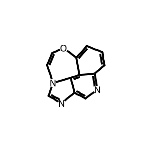 c1cc2ncc3ncn4ccoc(c1)c2c34